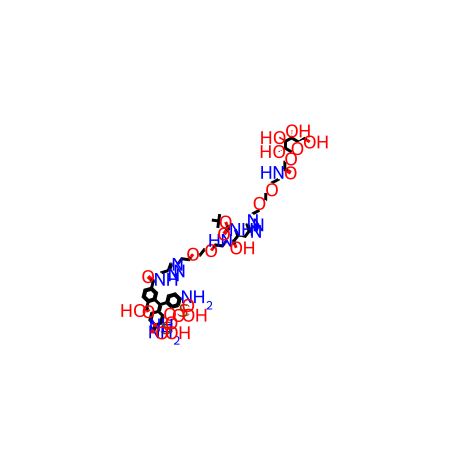 C=C/C(=C1/Oc2c(ccc(N)c2S(=O)(=O)O)C(c2cc(C(=O)NCc3cn(CCOCCOCCNC(O)[C@H](Cc4cn(CCOCCOCCNC(=O)CO[C@@H]5O[C@H](CO)[C@@H](O)[C@H](O)[C@H]5O)nn4)NC(=O)OC(C)(C)C)nn3)ccc2C(=O)O)=C1/C=C\NN)S(=O)(=O)O